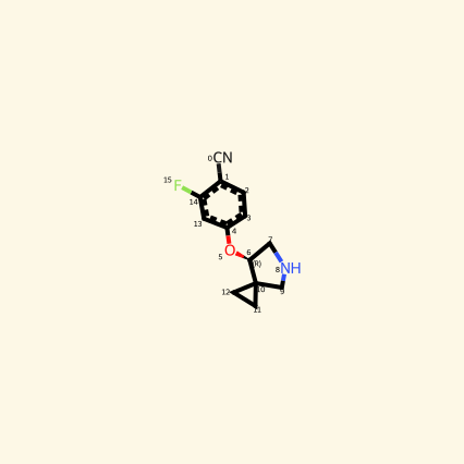 N#Cc1ccc(O[C@H]2CNCC23CC3)cc1F